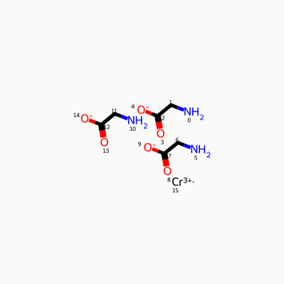 NCC(=O)[O-].NCC(=O)[O-].NCC(=O)[O-].[Cr+3]